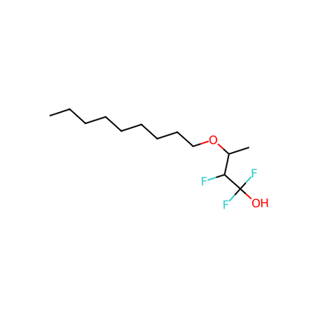 CCCCCCCCCOC(C)C(F)C(O)(F)F